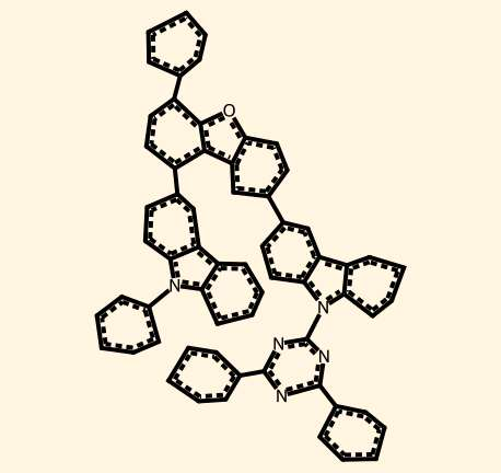 c1ccc(-c2nc(-c3ccccc3)nc(-n3c4ccccc4c4cc(-c5ccc6oc7c(-c8ccccc8)ccc(-c8ccc9c(c8)c8ccccc8n9-c8ccccc8)c7c6c5)ccc43)n2)cc1